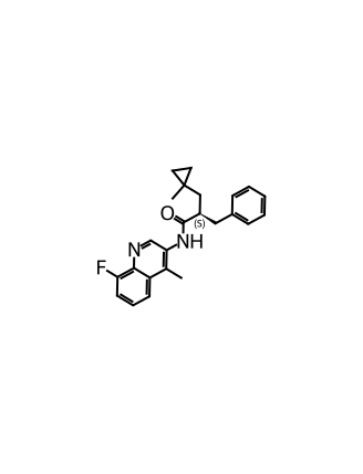 Cc1c(NC(=O)[C@H](Cc2ccccc2)CC2(C)CC2)cnc2c(F)cccc12